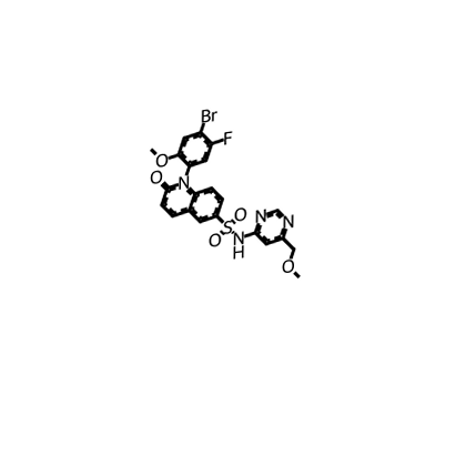 COCc1cc(NS(=O)(=O)c2ccc3c(ccc(=O)n3-c3cc(F)c(Br)cc3OC)c2)ncn1